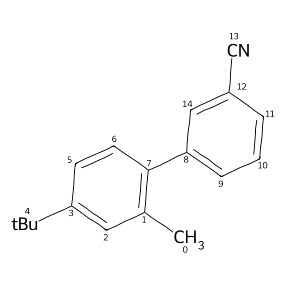 Cc1cc(C(C)(C)C)ccc1-c1cccc(C#N)c1